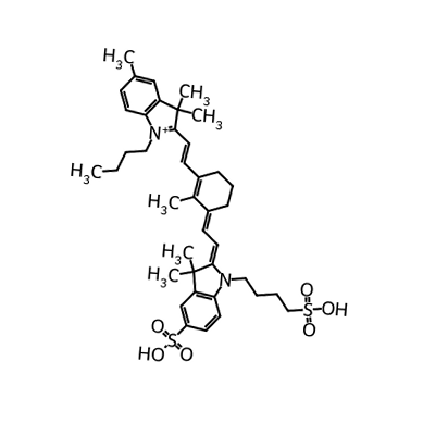 CCCC[N+]1=C(/C=C/C2=C(C)C(=C/C=C3/N(CCCCS(=O)(=O)O)c4ccc(S(=O)(=O)O)cc4C3(C)C)/CCC2)C(C)(C)c2cc(C)ccc21